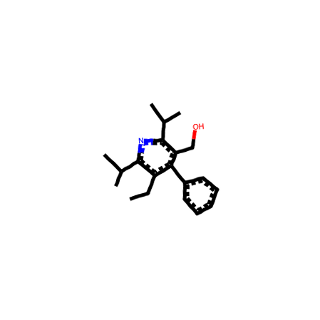 CCc1c(C(C)C)nc(C(C)C)c(CO)c1-c1ccccc1